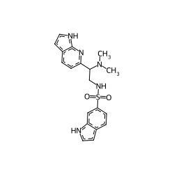 CN(C)C(CNS(=O)(=O)c1ccc2cc[nH]c2c1)c1ccc2cc[nH]c2n1